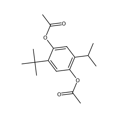 CC(=O)Oc1cc(C(C)(C)C)c(OC(C)=O)cc1C(C)C